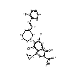 O=C(O)c1cn(C2CC2)c2c(Cl)c(N3CCCC[C@@H](/N=C/c4ccccc4F)C3)c(F)cc2c1=O